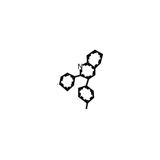 Cc1ccc(-c2cc3ccccc3nc2-c2cc[c]cc2)cc1